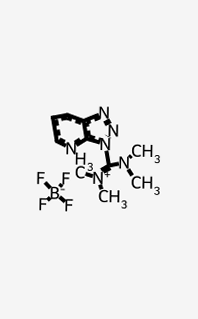 CN(C)C(n1nnc2cccnc21)=[N+](C)C.F[B-](F)(F)F